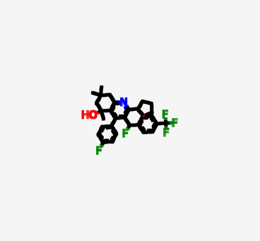 CC1(C)Cc2nc(C3CCCC3)c(C(F)c3ccc(C(F)(F)F)cc3)c(-c3ccc(F)cc3)c2C(C)(O)C1